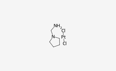 NCN1CCCC1.[Cl][Pt][Cl]